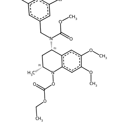 CCOC(=O)ON1c2cc(OC)c(OC)cc2[C@@H](N(Cc2cc(Cl)nc(Cl)c2)C(=O)OC)C[C@H]1C